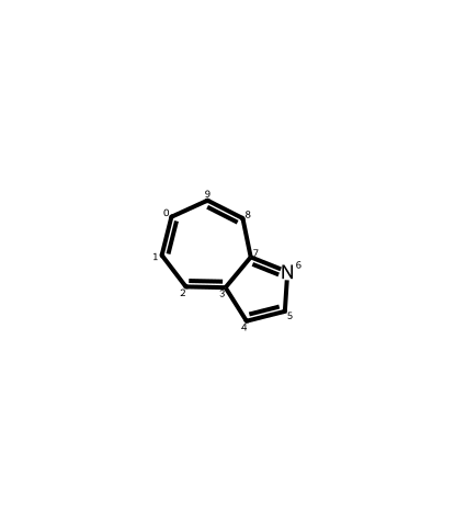 c1ccc2ccnc-2cc1